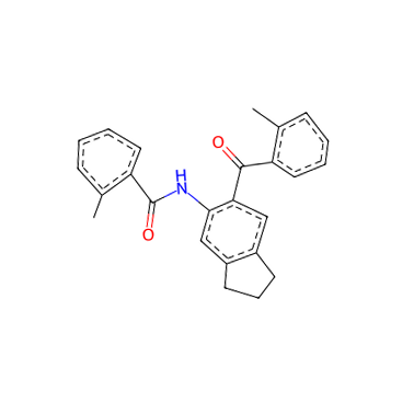 Cc1ccccc1C(=O)Nc1cc2c(cc1C(=O)c1ccccc1C)CCC2